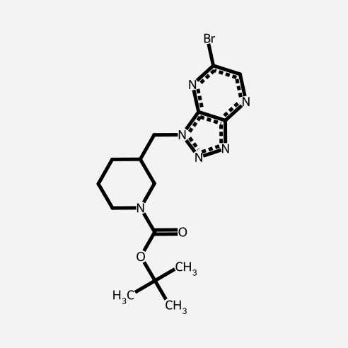 CC(C)(C)OC(=O)N1CCCC(Cn2nnc3ncc(Br)nc32)C1